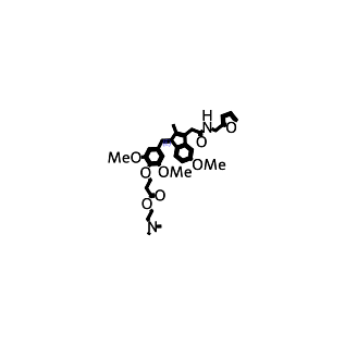 COc1ccc2c(c1)C(CC(=O)NCc1ccco1)=C(C)/C2=C/c1cc(OC)c(OCCC(=O)OCCN(C)C)c(OC)c1